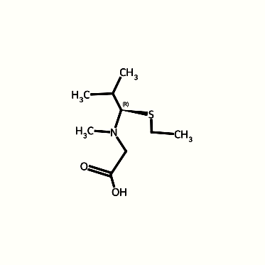 CCS[C@H](C(C)C)N(C)CC(=O)O